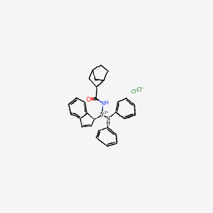 O=C([NH][Zr+2]([CH]1C=Cc2ccccc21)[SiH](c1ccccc1)c1ccccc1)C1CC2CCC1C2.[Cl-].[Cl-]